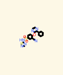 N#Cc1cc(S(=O)(=O)Nc2ncns2)ccc1Oc1nccnc1-c1ccccc1